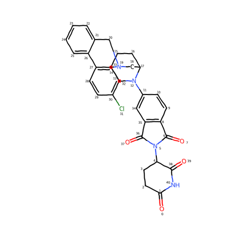 O=C1CCC(N2C(=O)c3ccc(N4CC5CCC4CN5Cc4ccccc4-c4ccc(Cl)cc4)cc3C2=O)C(=O)N1